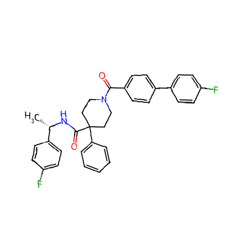 C[C@H](NC(=O)C1(c2ccccc2)CCN(C(=O)c2ccc(-c3ccc(F)cc3)cc2)CC1)c1ccc(F)cc1